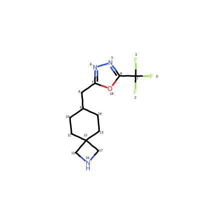 FC(F)(F)c1nnc(CC2CCC3(CC2)CNC3)o1